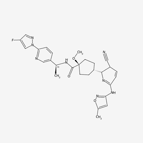 CO[C@]1(C(=O)N[C@@H](C)c2ccc(-n3cc(F)cn3)nc2)CC[C@@H](C2N=C(Nc3cc(C)on3)C=CC2C#N)CC1